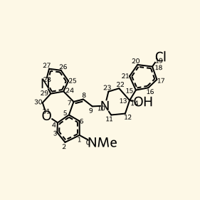 CNc1ccc2c(c1)C(=CCN1CCC(O)(c3ccc(Cl)cc3)CC1)c1cccnc1CO2